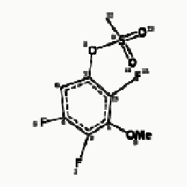 COc1c(F)c(F)cc(OS(C)(=O)=O)c1F